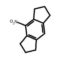 O=[N+]([O-])c1c2c(cc3c1CCC3)CCC2